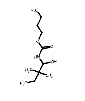 CCCCOC(=O)NC(O)C(C)(C)CC